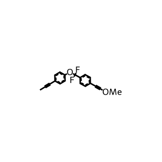 CC#Cc1ccc(OC(F)(F)c2ccc(C#COC)cc2)cc1